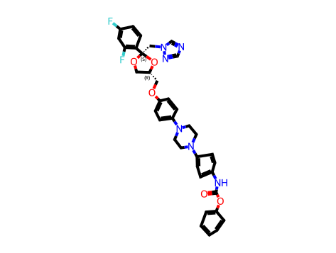 O=C(Nc1ccc(N2CCN(c3ccc(OC[C@@H]4CO[C@@](Cn5cncn5)(c5ccc(F)cc5F)O4)cc3)CC2)cc1)Oc1ccccc1